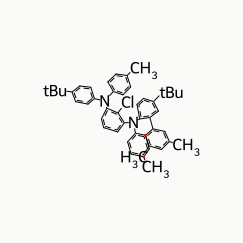 Cc1ccc(N(c2ccc(C(C)(C)C)cc2)c2cccc(N(c3ccc(C)cc3)c3ccc(C(C)(C)C)cc3-c3cc(C)cc(C)c3)c2Cl)cc1